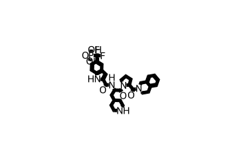 O=C(NC(CC1CCNCC1)C(=O)N1CCCC1C(=O)N1CCc2ccccc2C1)c1cc2cc(C(F)(F)P(=O)(O)O)ccc2[nH]1